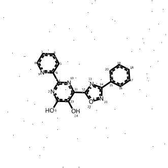 Oc1nc(-c2ccccn2)nc(-c2nc(-c3ccccc3)no2)c1O